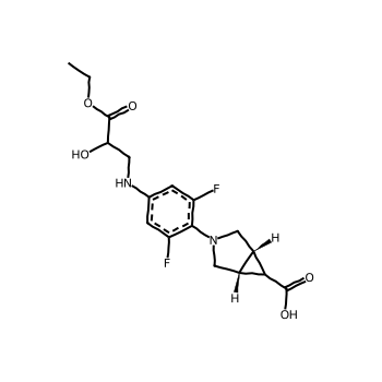 CCOC(=O)C(O)CNc1cc(F)c(N2C[C@@H]3C(C(=O)O)[C@@H]3C2)c(F)c1